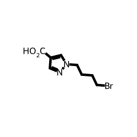 O=C(O)c1cnn(CCCCBr)c1